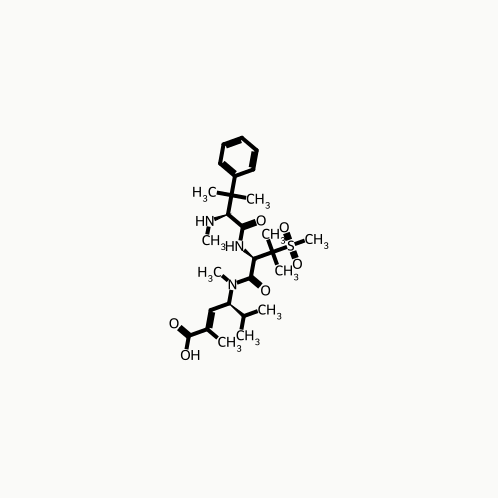 CN[C@H](C(=O)N[C@H](C(=O)N(C)[C@H](/C=C(\C)C(=O)O)C(C)C)C(C)(C)S(C)(=O)=O)C(C)(C)c1ccccc1